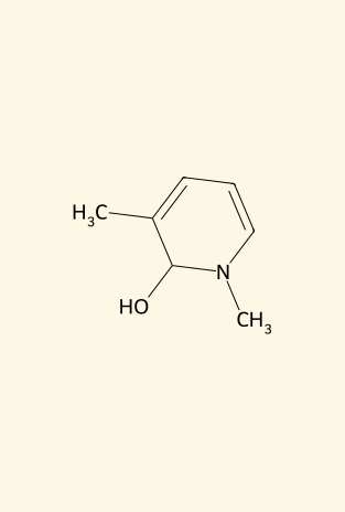 CC1=CC=CN(C)C1O